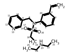 C=Cc1cccc(N(Cc2cccnc2)S(=O)(=O)CC)c1.CCNCC